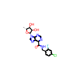 C[C@H]1O[C@@H](n2cnc3c(C(=O)NCc4ccc(Cl)cc4F)ncnc32)[C@H](O)[C@@H]1O